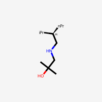 CCC[C@@H](CNCC(C)(C)O)C(C)C